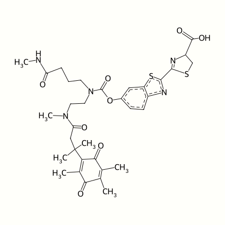 CNC(=O)CCCN(CCN(C)C(=O)CC(C)(C)C1=C(C)C(=O)C(C)=C(C)C1=O)C(=O)Oc1ccc2nc(C3=NC(C(=O)O)CS3)sc2c1